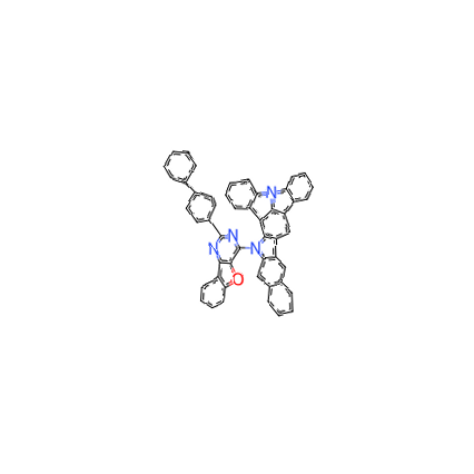 c1ccc(-c2ccc(-c3nc(-n4c5cc6ccccc6cc5c5cc6c7ccccc7n7c8ccccc8c(c54)c67)c4oc5ccccc5c4n3)cc2)cc1